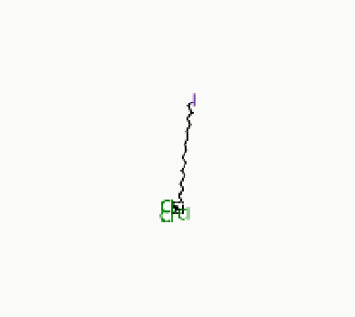 Cl[Si](Cl)(Cl)CCCCCCCCCCCCCCCCI